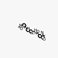 CC(=O)N(C)c1cccc(-c2ccc3cnc(CNC(=O)c4ccc5c(c4)[C@](C)(C#N)COC5)cc3n2)n1